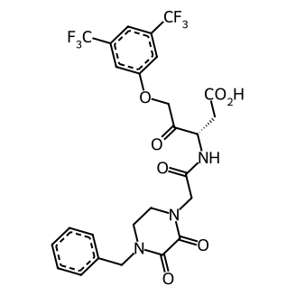 O=C(O)C[C@H](NC(=O)CN1CCN(Cc2ccccc2)C(=O)C1=O)C(=O)COc1cc(C(F)(F)F)cc(C(F)(F)F)c1